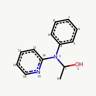 CC(O)N(c1ccccc1)c1ccccn1